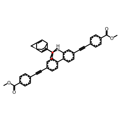 COC(=O)c1ccc(C#Cc2ccc(-c3ccc(C#Cc4ccc(C(=O)OC)cc4)cc3NC(=O)C3=C[C@]45CC4=CC3C(C(C)C)C5)cc2)cc1